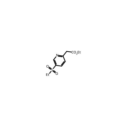 CCOC(=O)Cc1ccc(S(=O)(=O)CC)cn1